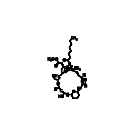 CCCCCCCC(=O)O[C@H]1/C(=C/C(=O)OC)CC2C[C@H](CO)OC(=O)C[C@H](O)C[C@@H]3CCC[C@H](C[C@@H]4CO[C@H](/C=C/C(C)(C)[C@]1(O)O2)O4)O3